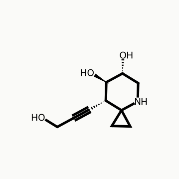 OCC#C[C@@H]1[C@@H](O)[C@H](O)CNC12CC2